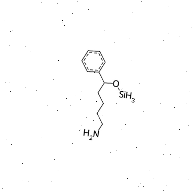 NCCCCC(O[SiH3])c1ccccc1